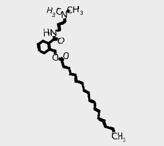 CCCCCCCCCCCCCCCCCC(=O)OCC1CC=CCC1C(=O)NCCCN(C)C